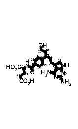 Nc1nc(N)c2c(CCC(CCO)c3ccc(C(=O)N[C@@H](CCC(=O)O)C(=O)O)cc3)c[nH]c2n1